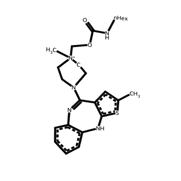 CCCCCCNC(=O)OC[N+]1(C)CCN(C2=Nc3ccccc3Nc3sc(C)cc32)CC1